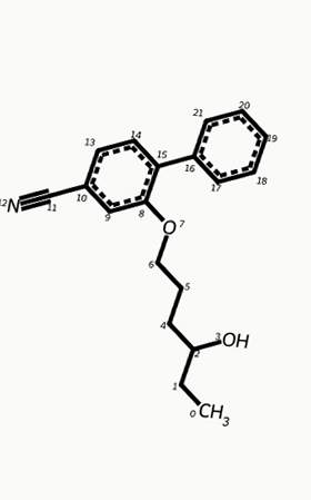 CCC(O)CCCOc1cc(C#N)ccc1-c1ccccc1